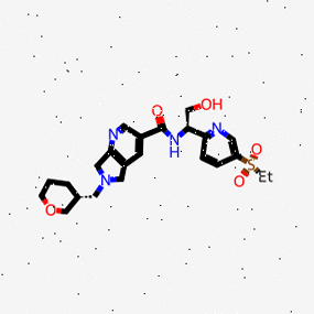 CCS(=O)(=O)c1ccc([C@H](CO)NC(=O)c2cnc3c(c2)CN(C[C@H]2CCCOC2)C3)nc1